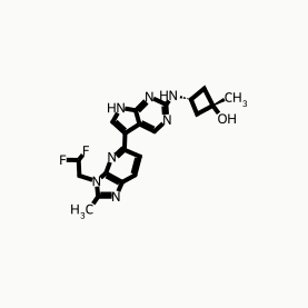 Cc1nc2ccc(-c3c[nH]c4nc(N[C@H]5C[C@@](C)(O)C5)ncc34)nc2n1CC(F)F